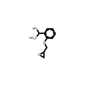 CCCC(C(=O)O)c1ccccc1OCC1CO1